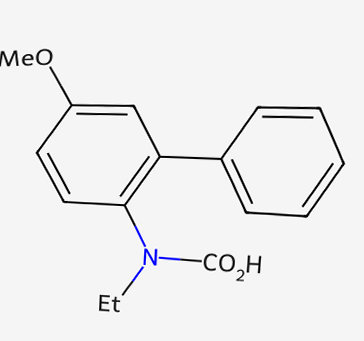 CCN(C(=O)O)c1ccc(OC)cc1-c1ccccc1